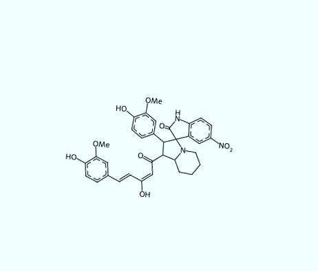 COc1cc(/C=C/C(O)=C\C(=O)C2C3CCCCN3C3(C(=O)Nc4ccc([N+](=O)[O-])cc43)C2c2ccc(O)c(OC)c2)ccc1O